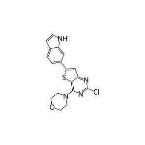 Clc1nc(N2CCOCC2)c2sc(-c3ccc4cc[nH]c4c3)cc2n1